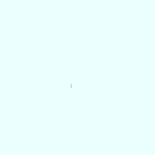 [Cl][Cu].[Cl][InH2]